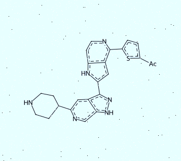 CC(=O)c1ccc(-c2nccc3[nH]c(-c4n[nH]c5cnc(C6CCNCC6)cc45)cc23)s1